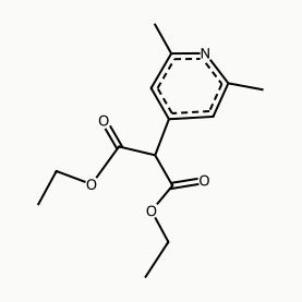 CCOC(=O)C(C(=O)OCC)c1cc(C)nc(C)c1